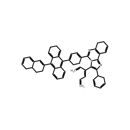 C=C/C=C(\C=C)c1c(C2C=CC=CC2)nc2c3c(nc(C4=CC=C(c5c6c(c(C7=CC8=CC=CCC8CC7)c7ccccc57)=CCCC=6)CC4)n12)CCC=C3